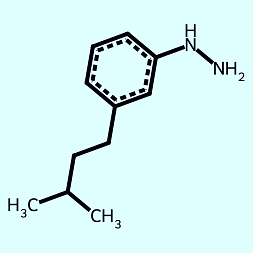 CC(C)CCc1cccc(NN)c1